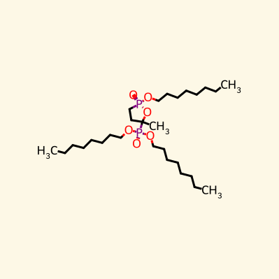 CCCCCCCCOP1(=O)CCC(C)(P(=O)(OCCCCCCCC)OCCCCCCCC)O1